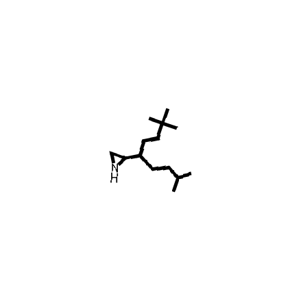 CC(C)CCC(CCC(C)(C)C)C1CN1